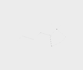 CCCCN1CCCC1(C)C